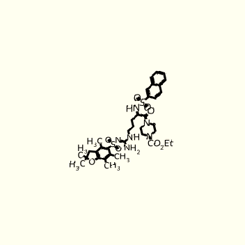 CCOC(=O)N1CCN(C(=O)C(CCCNC(N)=NS(=O)(=O)c2c(C)c(C)c3c(c2C)CC(C)(C)O3)NS(=O)(=O)c2ccc3ccccc3c2)CC1